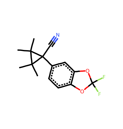 CC1(C)C(C)(C)C1(C#N)c1ccc2c(c1)OC(F)(F)O2